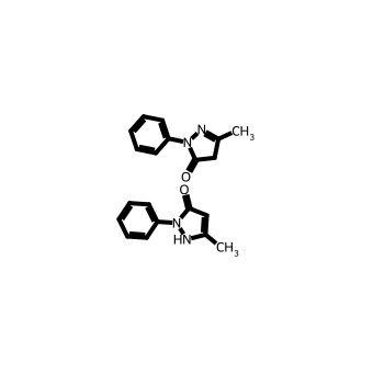 CC1=NN(c2ccccc2)C(=O)C1.Cc1cc(=O)n(-c2ccccc2)[nH]1